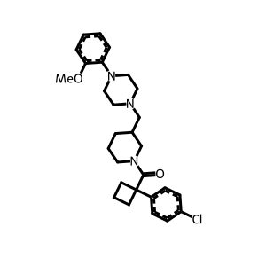 COc1ccccc1N1CCN(CC2CCCN(C(=O)C3(c4ccc(Cl)cc4)CCC3)C2)CC1